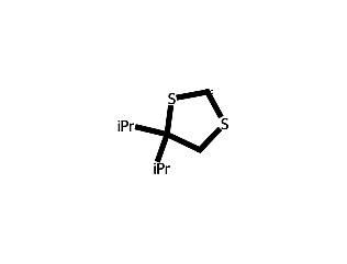 CC(C)C1(C(C)C)CS[C]S1